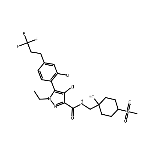 CCn1nc(C(=O)NCC2(O)CCC(S(C)(=O)=O)CC2)c(Cl)c1-c1ccc(CCC(F)(F)F)cc1Cl